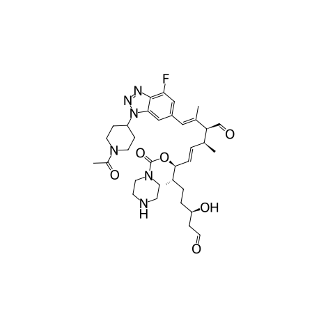 CC(=O)N1CCC(n2nnc3c(F)cc(/C=C(\C)[C@@H](C=O)[C@@H](C)/C=C/[C@H](OC(=O)N4CCNCC4)[C@@H](C)CC[C@@H](O)CC=O)cc32)CC1